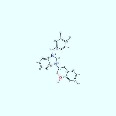 COCC(Cc1ccc(C)cc1)N1CN(Cc2ccc(C)c(C)c2)c2ccccc21